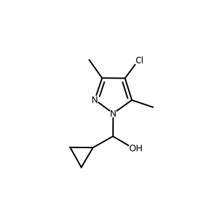 Cc1nn(C(O)C2CC2)c(C)c1Cl